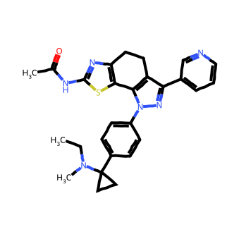 CCN(C)C1(c2ccc(-n3nc(-c4cccnc4)c4c3-c3sc(NC(C)=O)nc3CC4)cc2)CC1